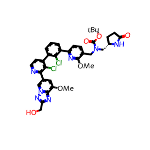 COc1nc(-c2cccc(-c3ccnc(-c4cc(OC)c5nc(CO)nn5c4)c3Cl)c2Cl)ccc1CN(C[C@@H]1CCC(=O)N1)C(=O)OC(C)(C)C